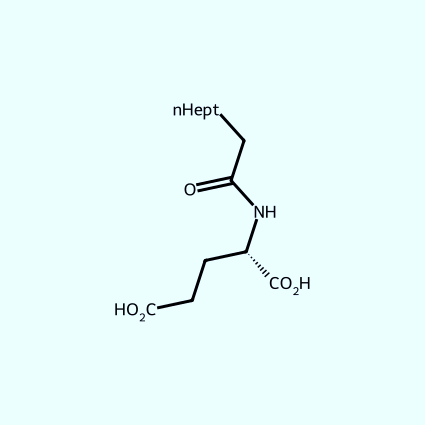 CCCCCCCCC(=O)N[C@@H](CCC(=O)O)C(=O)O